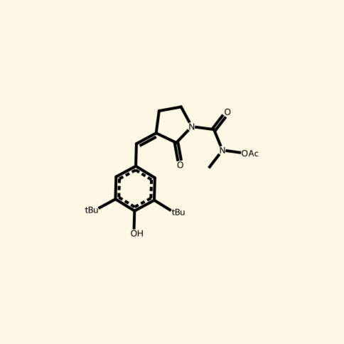 CC(=O)ON(C)C(=O)N1CCC(=Cc2cc(C(C)(C)C)c(O)c(C(C)(C)C)c2)C1=O